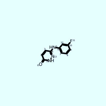 O=c1ccc(Nc2cccc(F)c2)n[nH]1